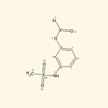 CCC(=O)Oc1cccc(NS(C)(=O)=O)c1